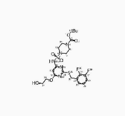 CC(C)(C)OC(=O)N1CCN(S(=O)(=O)Nc2cc(OCCO)nc(SCc3cccc(F)c3F)n2)CC1